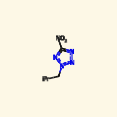 CC(C)Cn1nnc([N+](=O)[O-])n1